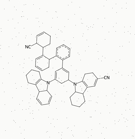 N#CC1=CC2=C(CC1)N(C1C=C(c3ccccc3C3CC=CC=C3C3CCC=CC3C#N)C=C(N3C4=C(CCCC4)C4C=CC=CC43)C1)C1CCCCC21